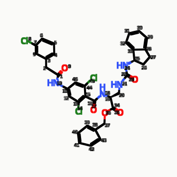 O=C(Cc1cccc(Cl)c1)Nc1cc(Cl)c(C(=O)N[C@@H](CNC(=O)N[C@@H]2CCc3ccccc32)C(=O)OCc2ccccc2)c(Cl)c1